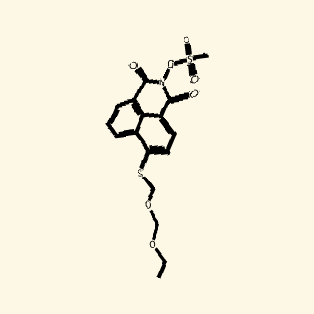 CCOCOCSc1ccc2c3c(cccc13)C(=O)N(OS(C)(=O)=O)C2=O